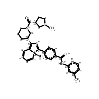 CN1CC[C@@H](C(=O)N2CCC[C@@H](C3=C4C=NC=C[N+]4(N)C(c4ccc(C(=O)Nc5cc(C(F)(F)F)ccn5)cc4)=N3)C2)C1